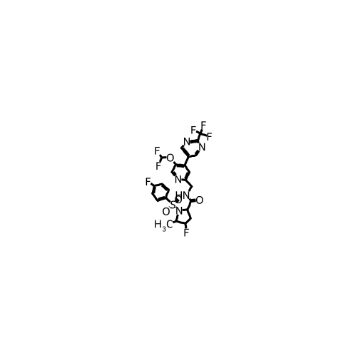 CC1C(F)CC(C(=O)NCc2cc(-c3cnc(C(F)(F)F)nc3)c(OC(F)F)cn2)N1S(=O)(=O)c1ccc(F)cc1